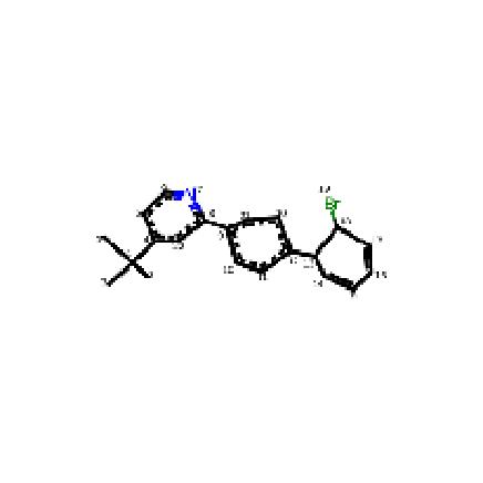 CC(C)(C)c1ccnc(-c2ccc(C3C=CC=CC3Br)cc2)c1